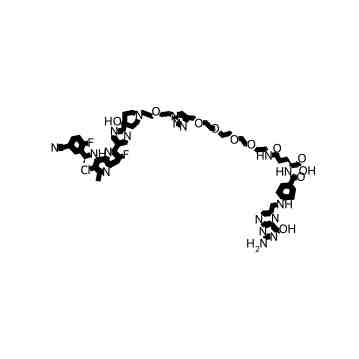 Cc1nc2cc(F)c(-c3cnc(C4(O)CCN(CCOCCn5cc(COCCOCCOCCOCCNC(=O)CC[C@H](NC(=O)c6ccc(NCc7cnc8nc(N)nc(O)c8n7)cc6)C(=O)O)nn5)CC4)nc3)nc2c(N[C@H](C)c2cc(C#N)ccc2F)c1Cl